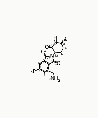 NCc1cc(F)cc2c1C(=O)N(C1CCC(=O)NC1=O)C2=O